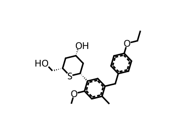 CCOc1ccc(Cc2cc([C@H]3C[C@@H](O)C[C@@H](CO)S3)c(OC)cc2C)cc1